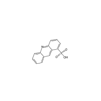 O=S(=O)(O)c1cccc2nc3ccccc3cc12